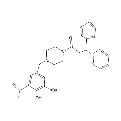 C=C(C)c1cc(CN2CCN(C(=O)CC(c3ccccc3)c3ccccc3)CC2)cc(C(C)(C)C)c1O